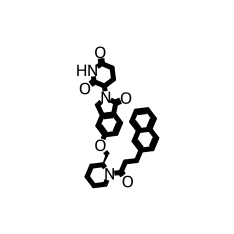 O=C1CCC(N2Cc3cc(OC[C@@H]4CCCCN4C(=O)CCc4ccc5ccccc5c4)ccc3C2=O)C(=O)N1